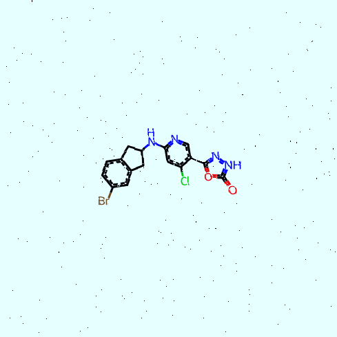 O=c1[nH]nc(-c2cnc(NC3Cc4ccc(Br)cc4C3)cc2Cl)o1